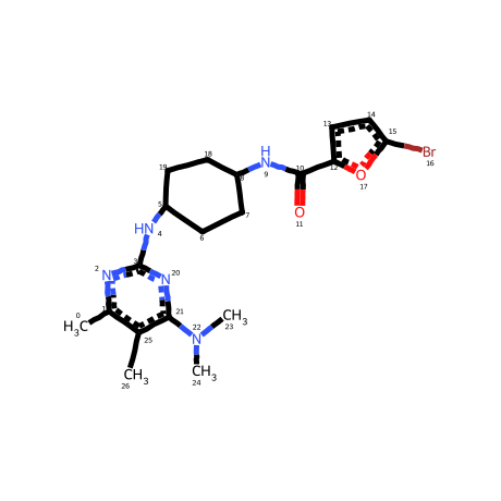 Cc1nc(NC2CCC(NC(=O)c3ccc(Br)o3)CC2)nc(N(C)C)c1C